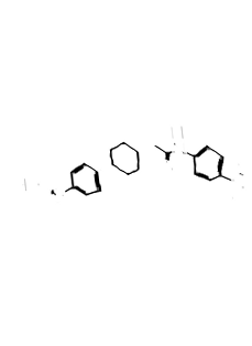 COc1ccc([C@H]2CC[C@@H](CC(=O)Nc3ccc(S(C)(=O)=O)cc3)CC2)cc1